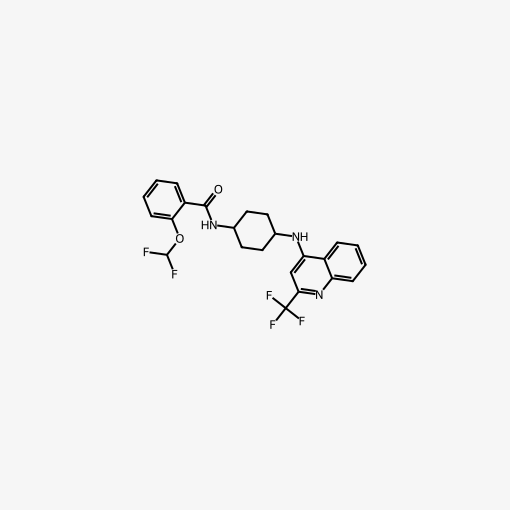 O=C(NC1CCC(Nc2cc(C(F)(F)F)nc3ccccc23)CC1)c1ccccc1OC(F)F